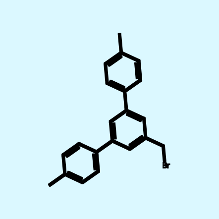 Cc1ccc(-c2cc(CBr)cc(-c3ccc(C)cc3)c2)cc1